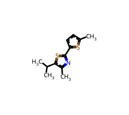 Cc1ccc(-c2nc(C)c(C(C)C)s2)s1